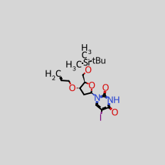 C=CCO[C@H]1C[C@H](n2cc(I)c(=O)[nH]c2=O)O[C@@H]1CO[Si](C)(C)C(C)(C)C